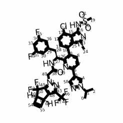 CC(C)n1cc(-c2ccc(-c3ccc(Cl)c4c(NS(C)(=O)=O)nn(C)c34)c([C@H](Cc3cc(F)cc(F)c3)NC(=O)Cn3nc(C(F)(F)F)c4c3C(F)(F)[C@@H]3C#C[C@H]43)n2)cn1